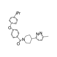 Cc1ccc(C2CCN(C(=O)c3ccc(Oc4ccc(C(C)C)cc4)cc3)CC2)nn1